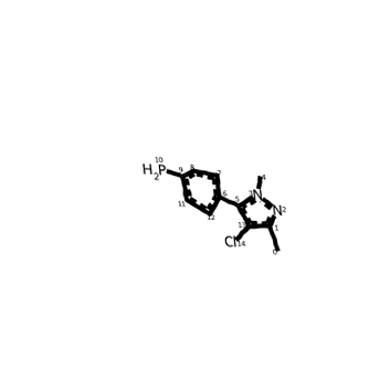 Cc1nn(C)c(-c2ccc(P)cc2)c1Cl